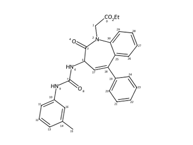 CCOC(=O)CN1C(=O)C(NC(=O)Nc2cccc(C)c2)C=C(c2ccccc2)c2ccccc21